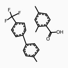 Cc1ccc(-c2ccc(C(F)(F)F)cc2)cc1.Cc1ccc(C(=O)O)c(C)c1